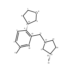 Cc1ccc([C@@H]2CCOC2)c(CN2CC[C@H](F)C2)n1